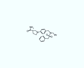 CC(C)CN(Cc1ccc(N2CCC(C(N)=O)C2)cc1)S(=O)(=O)Cc1ccccc1